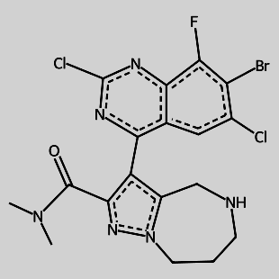 CN(C)C(=O)c1nn2c(c1-c1nc(Cl)nc3c(F)c(Br)c(Cl)cc13)CNCCC2